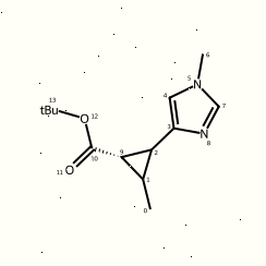 CC1C(c2cn(C)cn2)[C@H]1C(=O)OC(C)(C)C